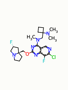 CN(CC1(N(C)C)CCC1)c1nc(OC[C@@]23CCCN2C[C@H](F)C3)nc2c(F)c(Cl)ncc12